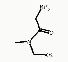 CN(CC#N)C(=O)CN